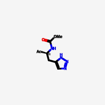 COC(=O)N[C@@H](Cc1cnn[nH]1)C(C)=O